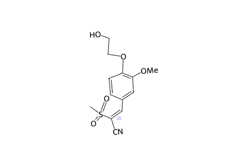 COc1cc(/C=C(/C#N)S(C)(=O)=O)ccc1OCCO